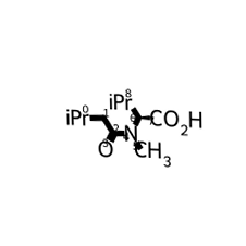 CC(C)CC(=O)N(C)[C@H](C(=O)O)C(C)C